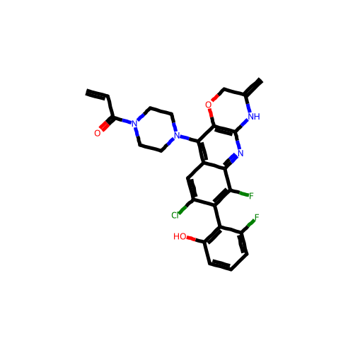 C=CC(=O)N1CCN(c2c3c(nc4c(F)c(-c5c(O)cccc5F)c(Cl)cc24)NC(=C)CO3)CC1